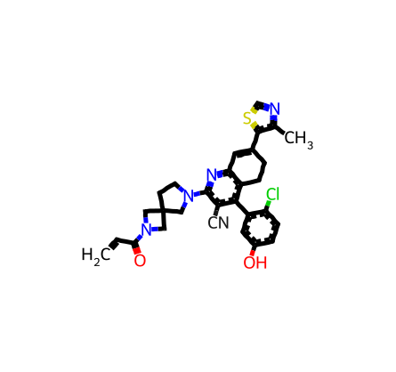 C=CC(=O)N1CC2(CCN(c3nc4c(c(-c5cc(O)ccc5Cl)c3C#N)CCC(c3scnc3C)=C4)C2)C1